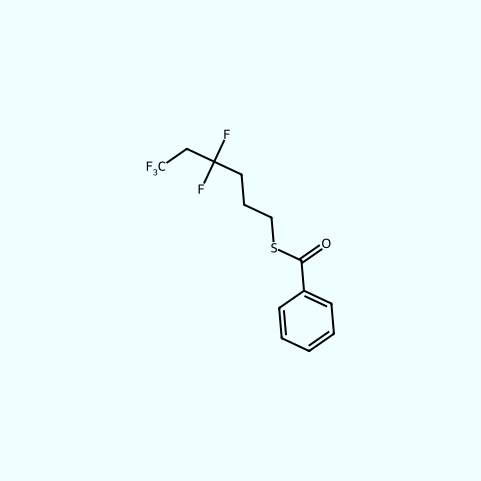 O=C(SCCCC(F)(F)CC(F)(F)F)c1ccccc1